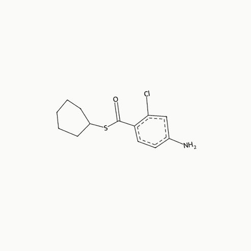 Nc1ccc(C(=O)SC2CCCCC2)c(Cl)c1